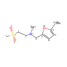 [2H]N(CCS(C)(=O)=O)Cc1ccc(C(C)(C)C)o1